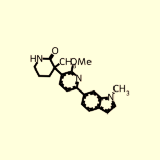 COc1nc(-c2ccc3ccn(C)c3c2)ccc1C1(C)CCCNC1=O